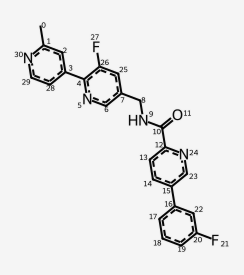 Cc1cc(-c2ncc(CNC(=O)c3ccc(-c4cccc(F)c4)cn3)cc2F)ccn1